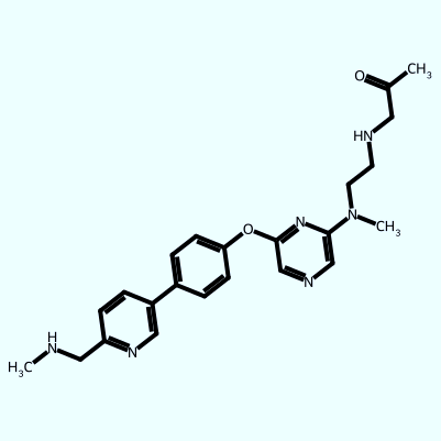 CNCc1ccc(-c2ccc(Oc3cncc(N(C)CCNCC(C)=O)n3)cc2)cn1